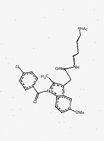 COc1ccc2c(c1)c(CC(=O)NCCCCNC(C)=O)c(C)n2C(=O)c1ccc(Cl)cc1